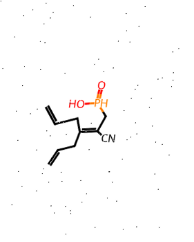 C=CCC(CC=C)=C(C#N)C[PH](=O)O